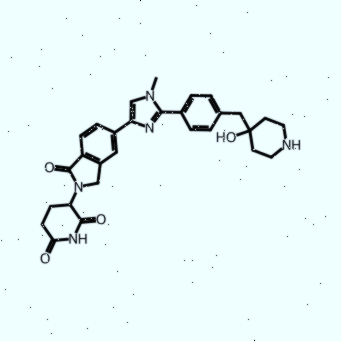 Cn1cc(-c2ccc3c(c2)CN(C2CCC(=O)NC2=O)C3=O)nc1-c1ccc(CC2(O)CCNCC2)cc1